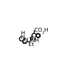 CCC(c1ccc2c(n1)NCCC2)c1cc(CC(CC(=O)O)c2ccccc2)n[nH]1